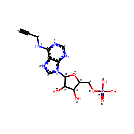 C#CCNc1ncnc2c1ncn2C1OC(COP(=O)(O)O)C(O)C1O